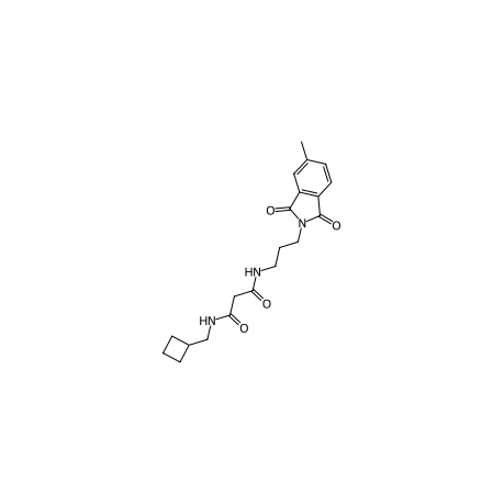 Cc1ccc2c(c1)C(=O)N(CCCNC(=O)CC(=O)NCC1CCC1)C2=O